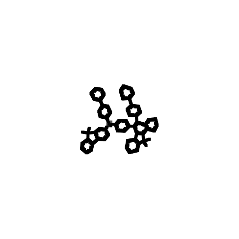 CC1(C)c2ccccc2-c2ccc(N(c3ccc(-c4ccccc4)cc3)c3ccc(-c4c5c(c6ccccc6c4-c4ccc(-c6ccccc6)cc4)C(C)(C)c4ccccc4-5)cc3)cc21